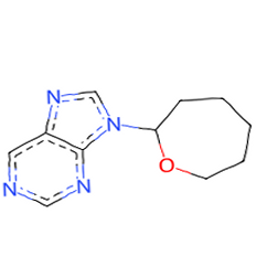 c1ncc2ncn(C3CCCCCO3)c2n1